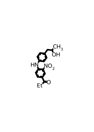 CCC(=O)c1ccc(Nc2ccc(CC(C)O)cc2)c([N+](=O)[O-])c1